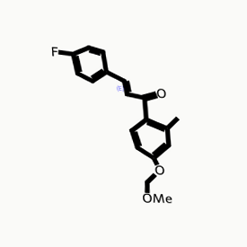 COCOc1ccc(C(=O)/C=C/c2ccc(F)cc2)c(C)c1